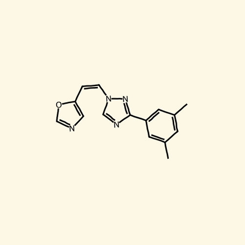 Cc1cc(C)cc(-c2ncn(/C=C\c3cnco3)n2)c1